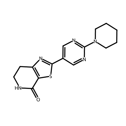 O=C1NCCc2nc(-c3cnc(N4CCCCC4)nc3)sc21